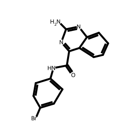 Nc1nc(C(=O)Nc2ccc(Br)cc2)c2ccccc2n1